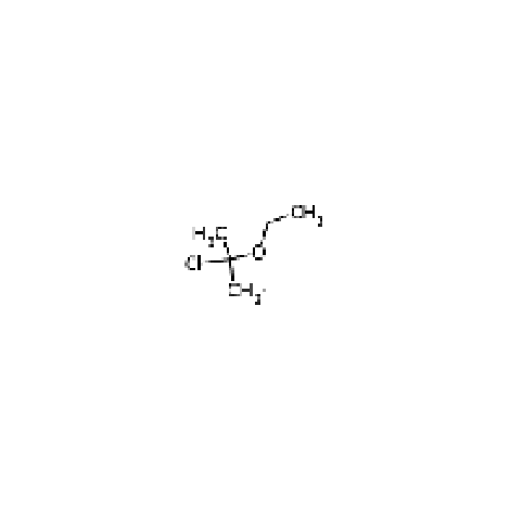 [CH2]C(C)(Cl)OCC